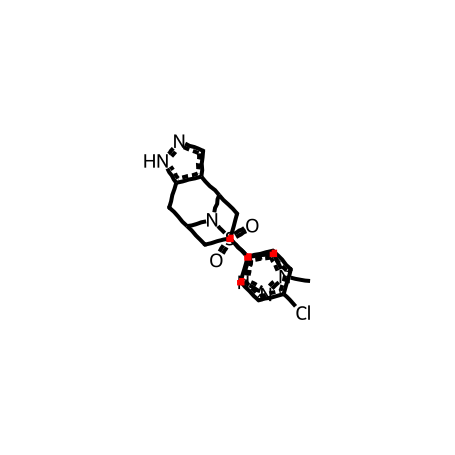 Cn1cc(C2CC3Cc4[nH]ncc4C(C2)N3S(=O)(=O)c2ccc(Cl)cc2)nn1